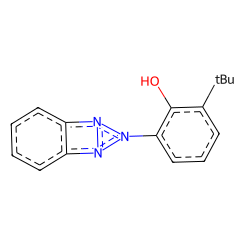 CC(C)(C)c1cccc(-n2n3c4ccccc4n23)c1O